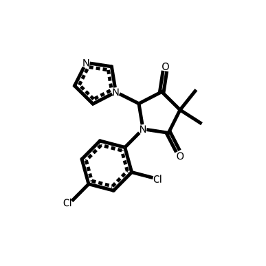 CC1(C)C(=O)C(n2ccnc2)N(c2ccc(Cl)cc2Cl)C1=O